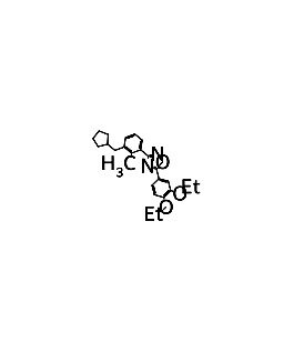 CCOc1ccc(-c2nc(-c3cccc(CC4CCCC4)c3C)no2)cc1OCC